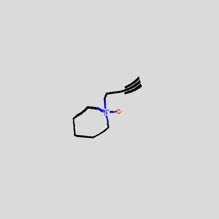 C#CC[N+]1([O])CCCCC1